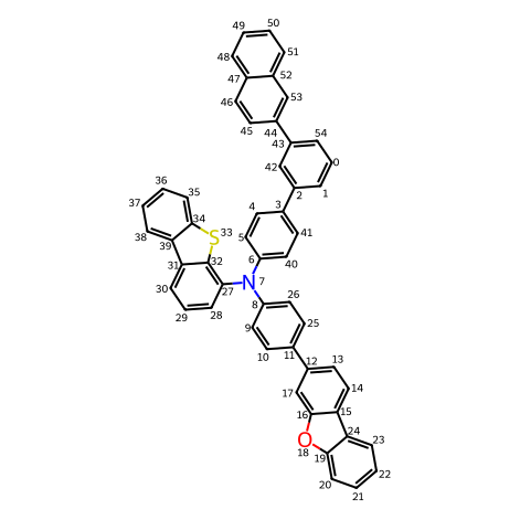 c1cc(-c2ccc(N(c3ccc(-c4ccc5c(c4)oc4ccccc45)cc3)c3cccc4c3sc3ccccc34)cc2)cc(-c2ccc3ccccc3c2)c1